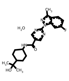 Cc1nn(-c2ncc(C(=O)NC3CCC(C(C)(C)O)CC3)cn2)c2cc(F)ccc12.O